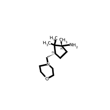 CC1(C)[C@@H](CN2CCOCC2)CC[C@@]1(C)N